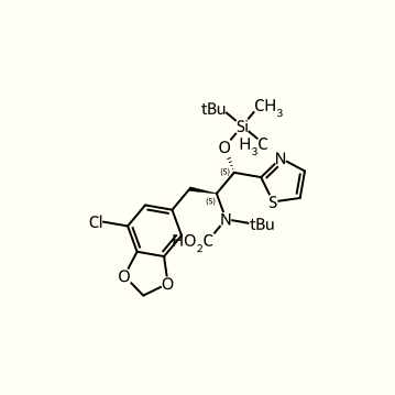 CC(C)(C)N(C(=O)O)[C@@H](Cc1cc(Cl)c2c(c1)OCO2)[C@H](O[Si](C)(C)C(C)(C)C)c1nccs1